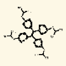 CC(C#N)Sc1ccc(C(=C(c2ccc(SC(C)C#N)cc2)c2ccc(SC(C)C#N)cc2)c2ccc(SC(C)C#N)cc2)cc1